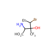 CCC(Br)C(O)(C(N)C(=O)O)C(F)(F)F